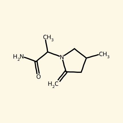 C=C1CC(C)CN1C(C)C(N)=O